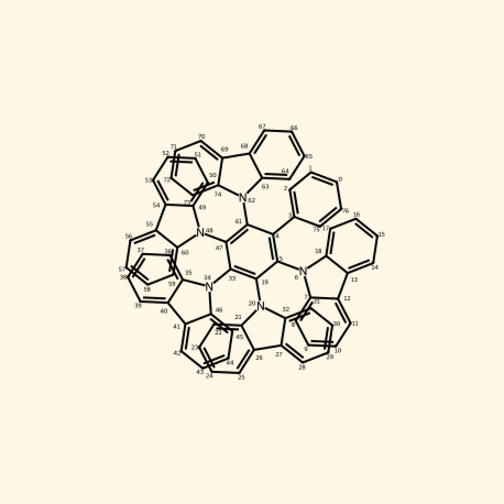 c1ccc(-c2c(-n3c4ccccc4c4ccccc43)c(-n3c4ccccc4c4ccccc43)c(-n3c4ccccc4c4ccccc43)c(-n3c4ccccc4c4ccccc43)c2-n2c3ccccc3c3ccccc32)cc1